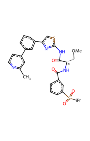 COC[C@H](NC(=O)c1cccc(S(=O)(=O)C(C)C)c1)C(=O)Nc1nc(-c2cccc(-c3ccnc(C)c3)c2)cs1